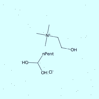 CCCCCC(O)O.C[N+](C)(C)CCO.[Cl-]